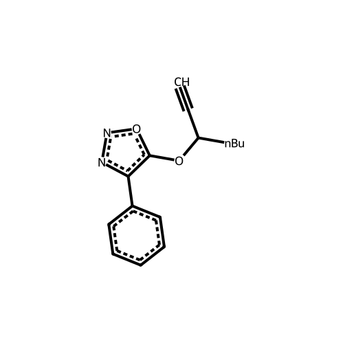 C#CC(CCCC)Oc1onnc1-c1ccccc1